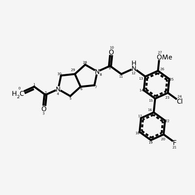 C=CC(=O)N1CC2CN(C(=O)CNc3cc(-c4cccc(F)c4)c(Cl)cc3OC)CC2C1